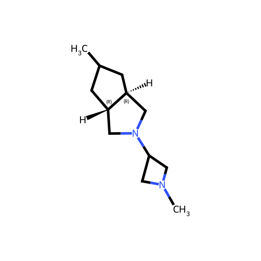 CC1C[C@H]2CN(C3CN(C)C3)C[C@@H]2C1